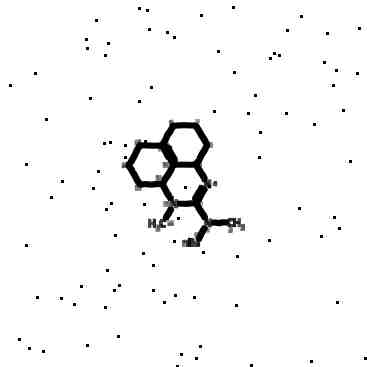 CCCCN(C)C1=NC2CCCC3=C2C(CCC3)N1C